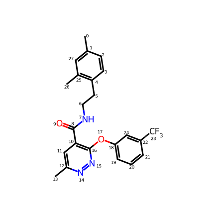 Cc1ccc(CCNC(=O)c2cc(C)nnc2Oc2cccc(C(F)(F)F)c2)c(C)c1